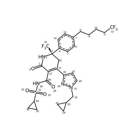 O=C1N[C@@](c2ccc(CCCCC(F)(F)F)cc2)(C(F)(F)F)CC(c2ccn(CC3CC3)n2)=C1C(=O)NS(=O)(=O)C1CC1